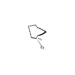 CC[C@H]1CCSC1